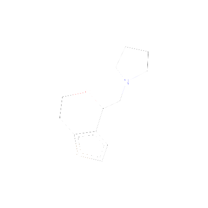 c1cc2c(s1)CCOC2CN1CCCC1